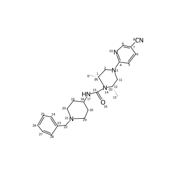 C[C@@H]1CN(c2ccc(C#N)cn2)C[C@H](C)N1C(=O)NC1CCN(Cc2ccccc2)CC1